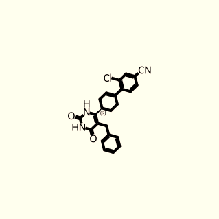 N#Cc1ccc(C2=CC[C@H](c3[nH]c(=O)[nH]c(=O)c3Cc3ccccc3)CC2)c(Cl)c1